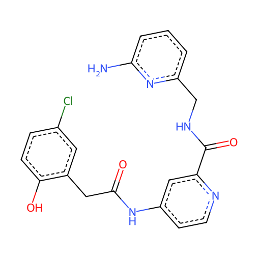 Nc1cccc(CNC(=O)c2cc(NC(=O)Cc3cc(Cl)ccc3O)ccn2)n1